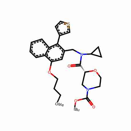 COCCCOc1cc(CN(C(=O)[C@H]2CN(C(=O)OC(C)(C)C)CCO2)C2CC2)c(-c2ccsc2)c2ccccc12